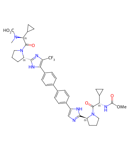 COC(=O)N[C@H](C(=O)N1CCC[C@H]1c1ncc(-c2ccc(-c3ccc(-c4[nH]c([C@@H]5CCCN5C(=O)[C@H](C5CC5)N(C)C(=O)O)nc4C(F)(F)F)cc3)cc2)[nH]1)C1CC1